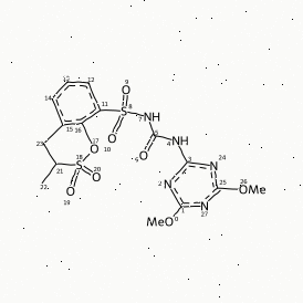 COc1nc(NC(=O)NS(=O)(=O)c2cccc3c2OS(=O)(=O)C(C)C3)nc(OC)n1